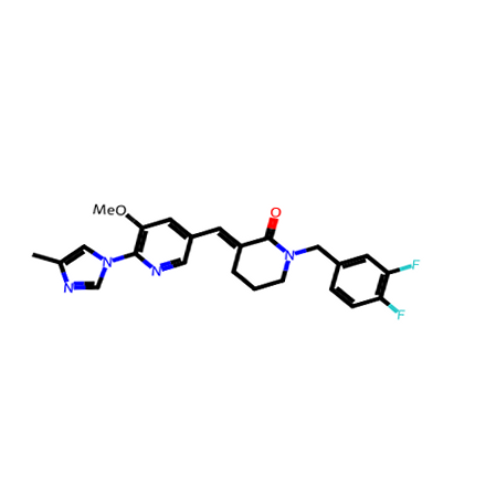 COc1cc(C=C2CCCN(Cc3ccc(F)c(F)c3)C2=O)cnc1-n1cnc(C)c1